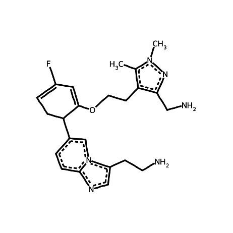 Cc1c(CCOC2=CC(F)=CCC2c2ccc3ncc(CCN)n3c2)c(CN)nn1C